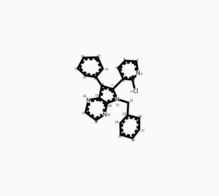 Clc1ncccc1-c1c(-c2ccccc2)c2nccnc2n1Cc1ccccc1